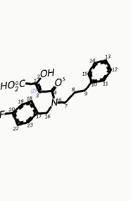 O=C(O)/C(O)=C/C(=O)N(CCCc1ccccc1)Cc1ccc(F)cc1